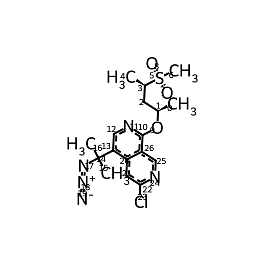 C[C@H](C[C@@H](C)S(C)(=O)=O)Oc1ncc(C(C)(C)N=[N+]=[N-])c2cc(Cl)ncc12